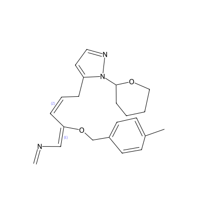 C=N/C=C(\C=C/Cc1ccnn1C1CCCCO1)OCc1ccc(C)cc1